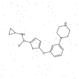 [O-][S+](NC1CC1)c1ccc(Oc2cccc(N3CCNCC3)c2)s1